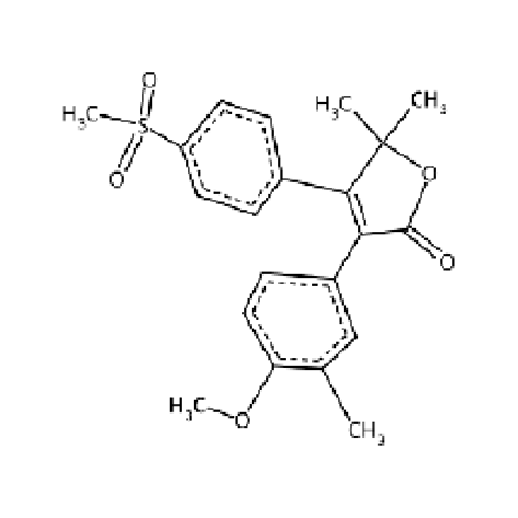 COc1ccc(C2=C(c3ccc(S(C)(=O)=O)cc3)C(C)(C)OC2=O)cc1C